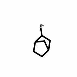 [CH2]C(C)C1CC2CCC1C2